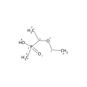 CCOC(C)P(C)(=O)O